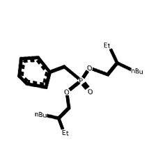 CCCCC(CC)COP(=O)(Cc1ccccc1)OCC(CC)CCCC